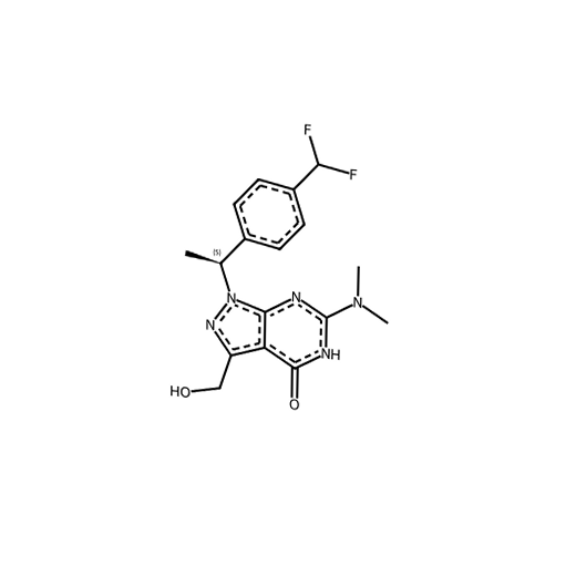 C[C@@H](c1ccc(C(F)F)cc1)n1nc(CO)c2c(=O)[nH]c(N(C)C)nc21